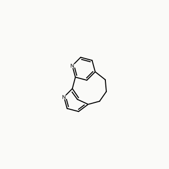 c1cc2cc(n1)-c1cc(ccn1)CCC2